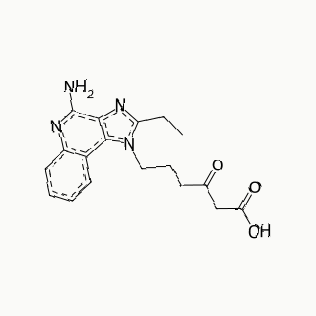 CCc1nc2c(N)nc3ccccc3c2n1CCCC(=O)CC(=O)O